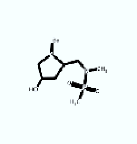 CCC(C)N1CC(O)CC1CN(C)S(C)(=O)=O